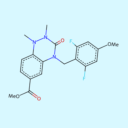 COC(=O)c1ccc2c(c1)N(Cc1c(F)cc(OC)cc1F)C(=O)N(C)N2C